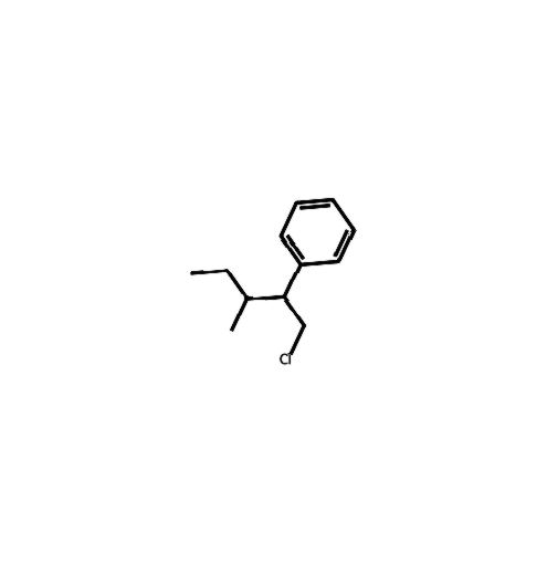 CCC(C)C(CCl)c1ccccc1